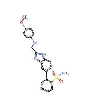 NS(=O)(=O)c1ccccc1-c1ccc2[nH]c(CNc3ccc(OC(F)(F)F)cc3)nc2c1